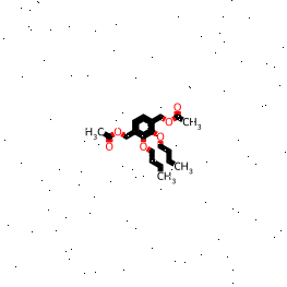 CCCCOc1c(COC(C)=O)ccc(COC(C)=O)c1OCCCC